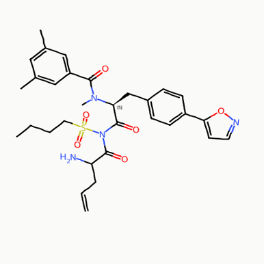 C=CCC(N)C(=O)N(C(=O)[C@H](Cc1ccc(-c2ccno2)cc1)N(C)C(=O)c1cc(C)cc(C)c1)S(=O)(=O)CCCC